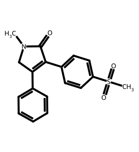 CN1CC(c2ccccc2)=C(c2ccc(S(C)(=O)=O)cc2)C1=O